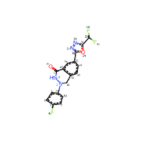 O=C1NN(c2ccc(F)cc2)Cc2ccc(-c3nnc(C(F)F)o3)cc21